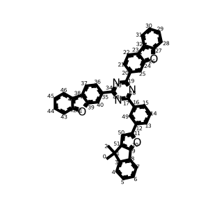 CC1(C)c2ccccc2-c2oc(-c3cccc(-c4nc(-c5ccc6c(c5)oc5ccccc56)nc(-c5ccc6c(c5)oc5ccccc56)n4)c3)cc21